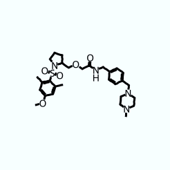 COc1cc(C)c(S(=O)(=O)N2CCCC2COCC(=O)NCc2ccc(CN3CCN(C)CC3)cc2)c(C)c1